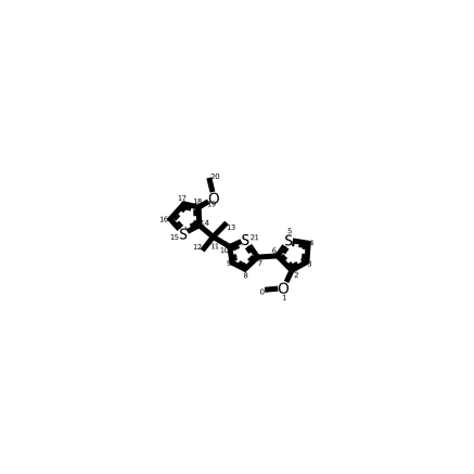 COc1ccsc1-c1ccc(C(C)(C)c2sccc2OC)s1